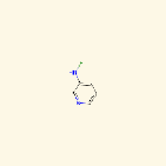 FNc1cccnc1